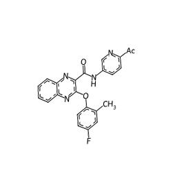 CC(=O)c1ccc(NC(=O)c2nc3ccccc3nc2Oc2ccc(F)cc2C)cn1